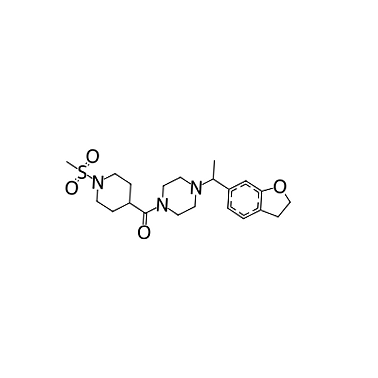 CC(c1ccc2c(c1)OCC2)N1CCN(C(=O)C2CCN(S(C)(=O)=O)CC2)CC1